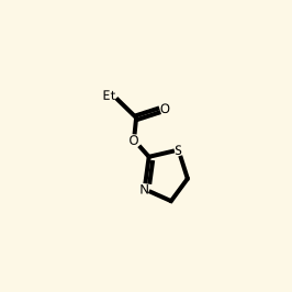 CCC(=O)OC1=NCCS1